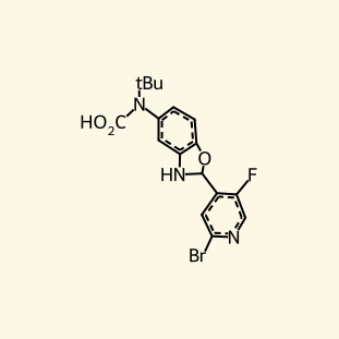 CC(C)(C)N(C(=O)O)c1ccc2c(c1)NC(c1cc(Br)ncc1F)O2